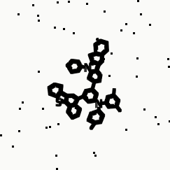 Cc1ccc(N(c2cc(C)cc(C)c2)c2cc(-c3ccc4c5cc6ccccc6cc5n(-c5ccccc5)c4c3)cc(-c3cc4c5ccccc5sc4c4ccccc34)c2)cc1